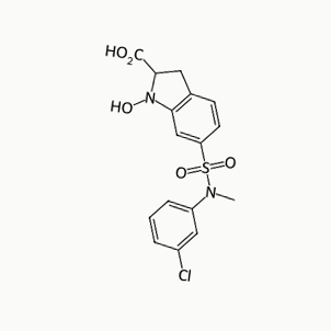 CN(c1cccc(Cl)c1)S(=O)(=O)c1ccc2c(c1)N(O)C(C(=O)O)C2